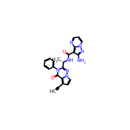 C#Cc1ccn2nc([C@H](C)NC(=O)c3c(N)nn4cccnc34)n(-c3ccccc3)c(=O)c12